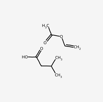 C=COC(C)=O.CC(C)CC(=O)O